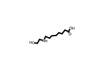 O=C(O)CCCCCCCNCCO